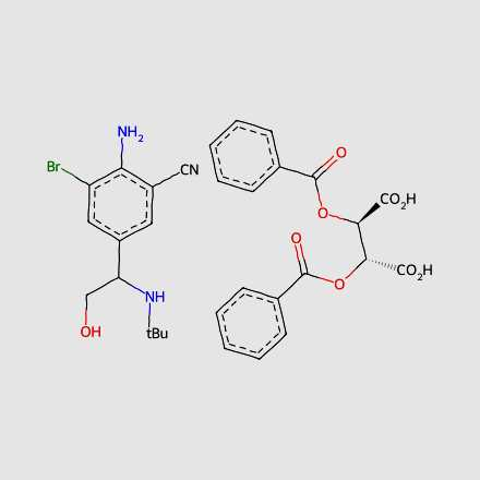 CC(C)(C)NC(CO)c1cc(Br)c(N)c(C#N)c1.O=C(O[C@@H](C(=O)O)[C@@H](OC(=O)c1ccccc1)C(=O)O)c1ccccc1